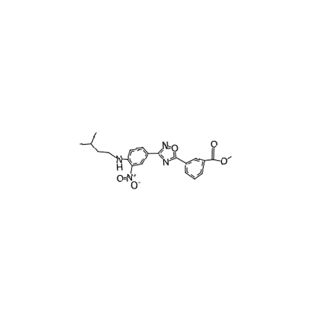 COC(=O)c1cccc(-c2nc(-c3ccc(NCCC(C)C)c([N+](=O)[O-])c3)no2)c1